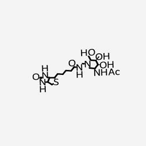 CC(=O)NC1CN(CNC(=O)CCCCC2SCC3NC(=O)NC32)C(CO)[C@@H](O)[C@@H]1O